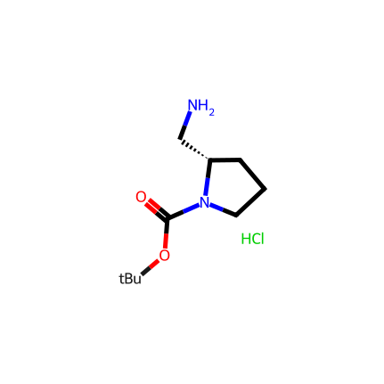 CC(C)(C)OC(=O)N1CCC[C@H]1CN.Cl